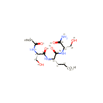 CCCCCCCCCC(=O)N[C@@H](CO)C(=O)N[C@@H](CCC(=O)O)C(=O)N[C@@H](CO)C(N)=O